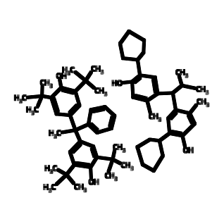 CC(C)(C)c1cc(C(C)(c2ccccc2)c2cc(C(C)(C)C)c(O)c(C(C)(C)C)c2)cc(C(C)(C)C)c1O.Cc1cc(O)c(C2CCCCC2)cc1C(c1cc(C2CCCCC2)c(O)cc1C)C(C)C